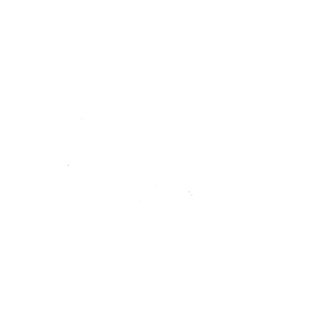 O=C(Nc1ccc(Cl)cc1)C1CC12CCC(c1ccnc3ccncc13)CC2